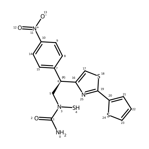 NC(=O)N(S)C[C@@H](c1ccc([N+](=O)[O-])cc1)c1csc(-c2cccs2)n1